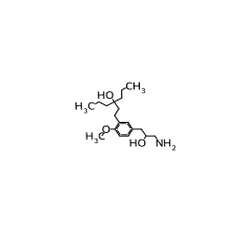 CCCC(O)(CCC)CCc1cc(CC(O)CN)ccc1OC